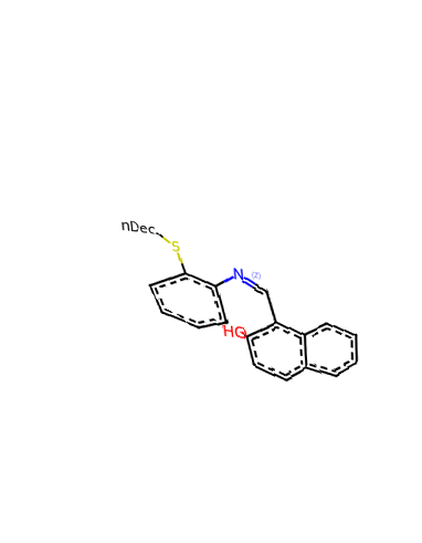 CCCCCCCCCCSc1ccccc1/N=C\c1c(O)ccc2ccccc12